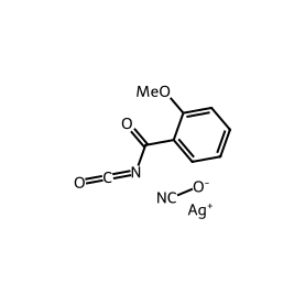 COc1ccccc1C(=O)N=C=O.N#C[O-].[Ag+]